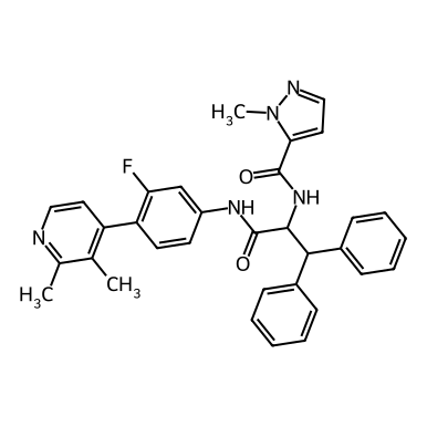 Cc1nccc(-c2ccc(NC(=O)C(NC(=O)c3ccnn3C)C(c3ccccc3)c3ccccc3)cc2F)c1C